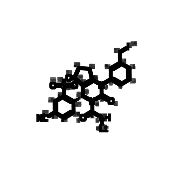 CCNC(=O)N1C(=O)N(c2cccc(CF)c2)C2=C(C(=O)CC2)[C@H]1c1ccc(C#N)cc1S(C)(=O)=O